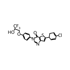 O=c1c2sc(C3C=CC(Cl)=CC3)cc2ncn1-c1ccc(OCC(O)C(F)(F)F)cc1